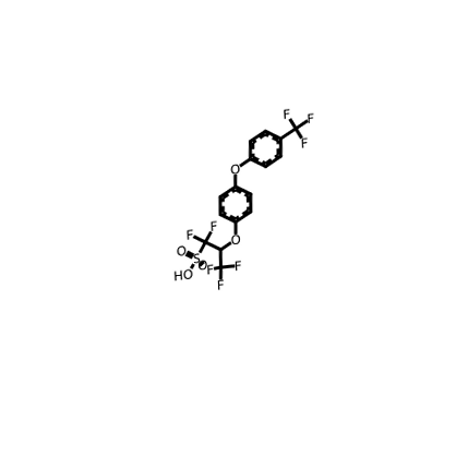 O=S(=O)(O)C(F)(F)C(Oc1ccc(Oc2ccc(C(F)(F)F)cc2)cc1)C(F)(F)F